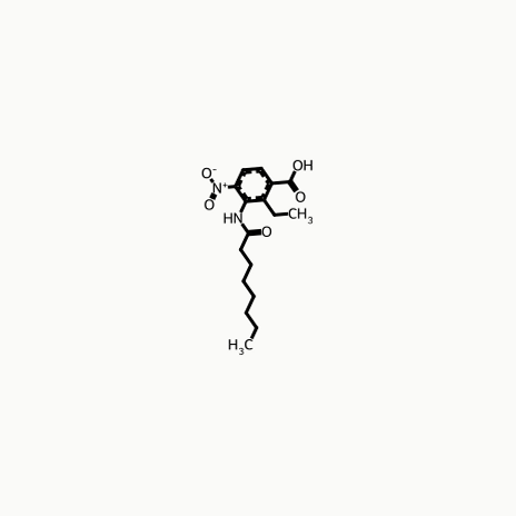 CCCCCCCC(=O)Nc1c([N+](=O)[O-])ccc(C(=O)O)c1CC